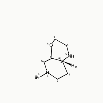 CC(C)N1CC[C@H]2NCCOC2C1